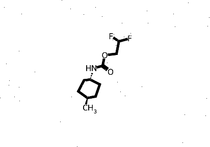 C[C@H]1CC[C@H](NC(=O)OCC(F)F)CC1